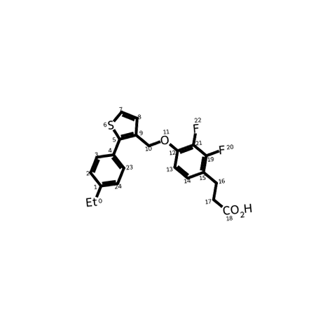 CCc1ccc(-c2sccc2COc2ccc(CCC(=O)O)c(F)c2F)cc1